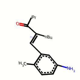 CCCC/C(=C\c1cc(N)ccc1C)C(=O)C(C)C